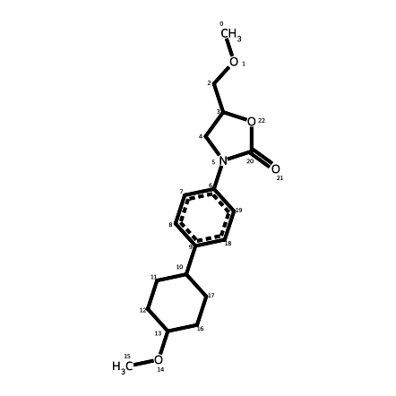 COCC1CN(c2ccc(C3CCC(OC)CC3)cc2)C(=O)O1